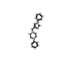 c1ccc(N2CCN(Cc3cn(-c4ccccc4)cn3)CC2)cc1